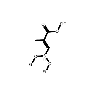 CCCOC(=O)C(C)=C[SiH](OCC)OCC